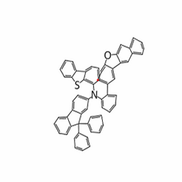 c1ccc(C2(c3ccccc3)c3ccccc3-c3ccc(N(c4ccccc4-c4ccc5oc6cc7ccccc7cc6c5c4)c4cccc5c4sc4ccccc45)cc32)cc1